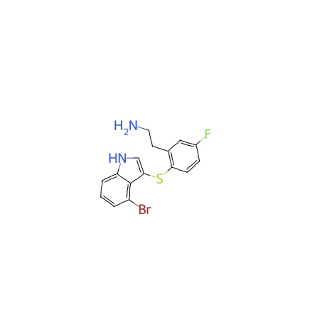 NCCc1cc(F)ccc1Sc1c[nH]c2cccc(Br)c12